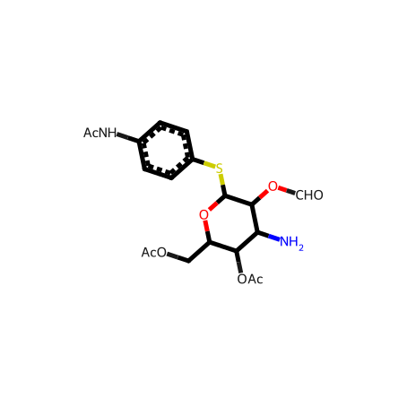 CC(=O)Nc1ccc(SC2OC(COC(C)=O)C(OC(C)=O)C(N)C2OC=O)cc1